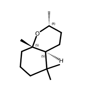 C[C@@H]1CC[C@H]2C(C)(C)CCC[C@]2(C)O1